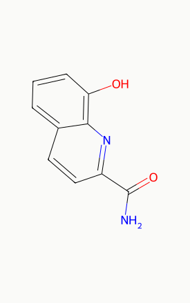 NC(=O)c1ccc2cccc(O)c2n1